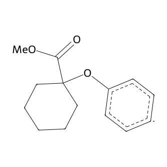 COC(=O)C1(Oc2cc[c]cc2)CCCCC1